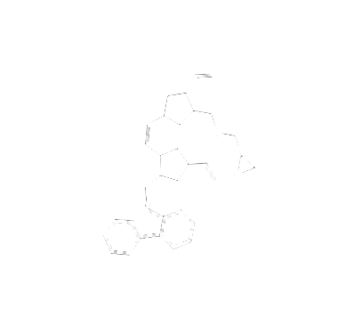 C=CC1CC(/C=C\C2CC(C=C)C(COCC3CO3)C2)C(Cn2c3ccccc3c3ccccc32)C1